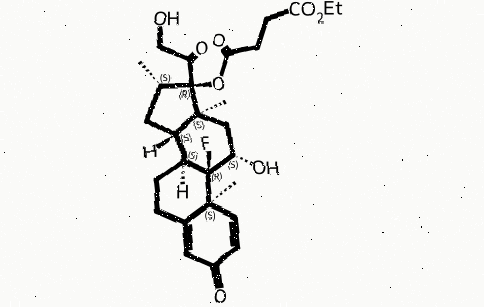 CCOC(=O)CCC(=O)O[C@]1(C(=O)CO)[C@@H](C)C[C@H]2[C@@H]3CCC4=CC(=O)C=C[C@]4(C)[C@@]3(F)[C@@H](O)C[C@@]21C